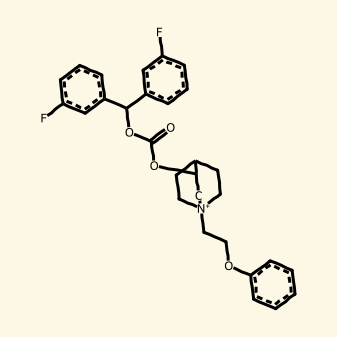 O=C(OC(c1cccc(F)c1)c1cccc(F)c1)OC1C[N+]2(CCOc3ccccc3)CCC1CC2